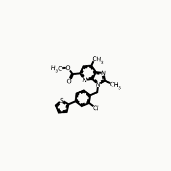 COC(=O)c1cc(C)c2nc(C)n(Cc3ccc(-c4cccs4)cc3Cl)c2n1